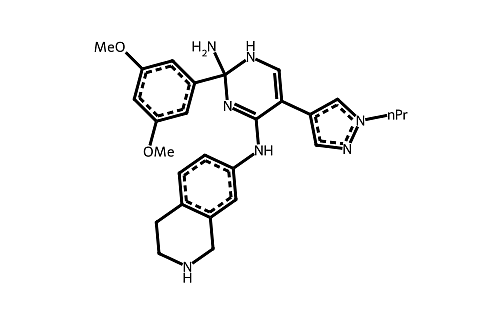 CCCn1cc(C2=CNC(N)(c3cc(OC)cc(OC)c3)N=C2Nc2ccc3c(c2)CNCC3)cn1